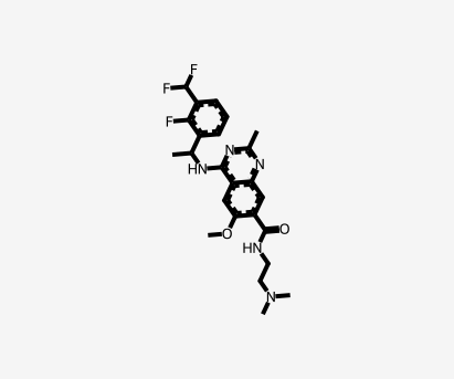 COc1cc2c(NC(C)c3cccc(C(F)F)c3F)nc(C)nc2cc1C(=O)NCCN(C)C